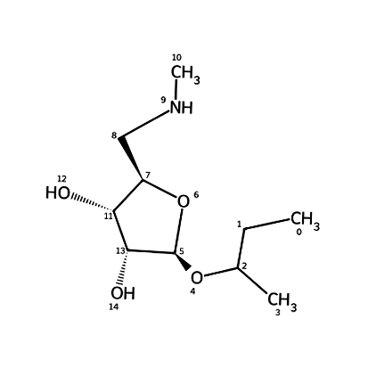 CCC(C)O[C@@H]1O[C@H](CNC)[C@@H](O)[C@H]1O